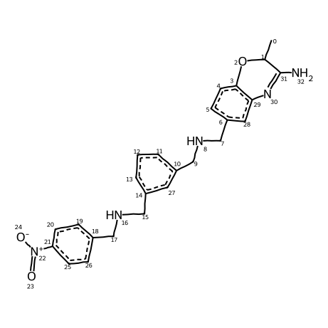 CC1Oc2ccc(CNCc3cccc(CNCc4ccc([N+](=O)[O-])cc4)c3)cc2N=C1N